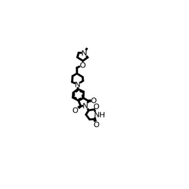 CN1CC[C@H](OCC2CCN(c3ccc4c(c3)C(=O)N(C3CCC(=O)NC3=O)C4=O)CC2)C1